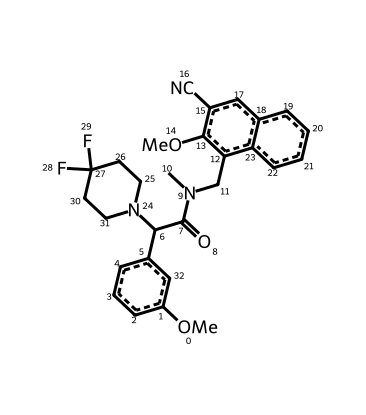 COc1cccc(C(C(=O)N(C)Cc2c(OC)c(C#N)cc3ccccc23)N2CCC(F)(F)CC2)c1